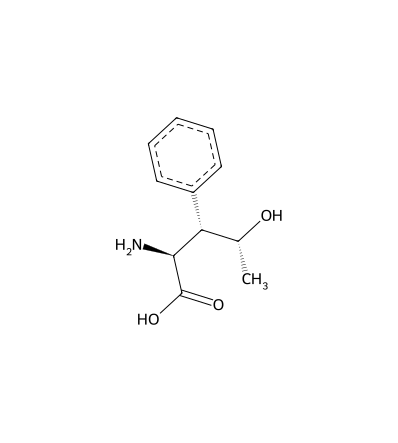 C[C@@H](O)[C@@H](c1ccccc1)[C@H](N)C(=O)O